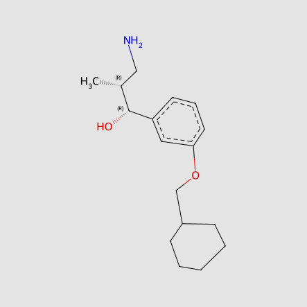 C[C@H](CN)[C@@H](O)c1cccc(OCC2CCCCC2)c1